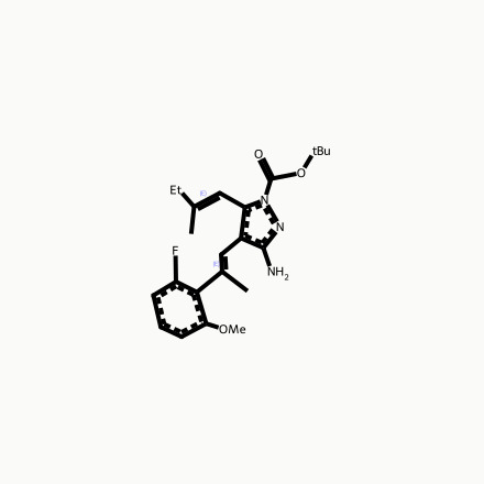 CC/C(C)=C/c1c(/C=C(\C)c2c(F)cccc2OC)c(N)nn1C(=O)OC(C)(C)C